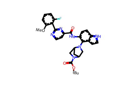 COc1cccc(F)c1-c1nccc(C(=O)Nc2ccc3[nH]ccc3c2N2CC3CC2CN3C(=O)OC(C)(C)C)n1